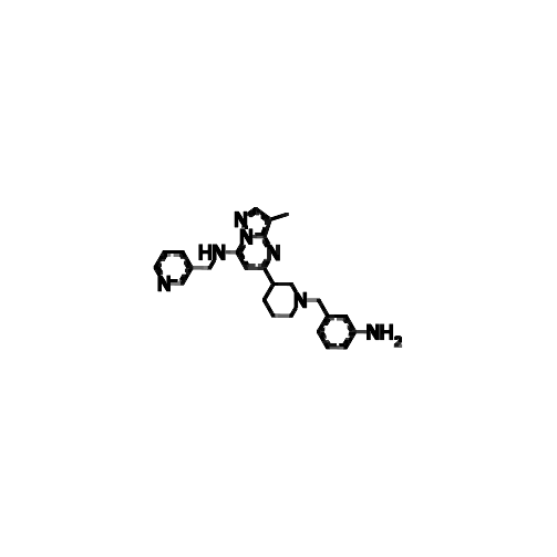 Cc1cnn2c(NCc3cccnc3)cc(C3CCCN(Cc4cccc(N)c4)C3)nc12